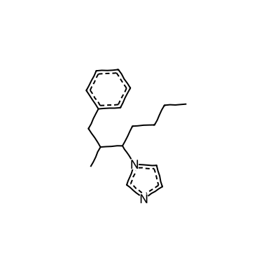 CCCCC(C(C)Cc1ccccc1)n1ccnc1